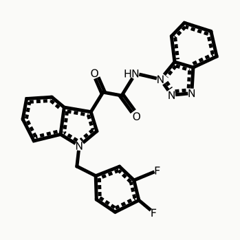 O=C(Nn1nnc2ccccc21)C(=O)c1cn(Cc2ccc(F)c(F)c2)c2ccccc12